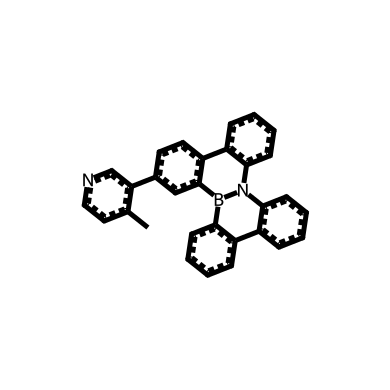 Cc1ccncc1-c1ccc2c(c1)B1c3ccccc3-c3ccccc3N1c1ccccc1-2